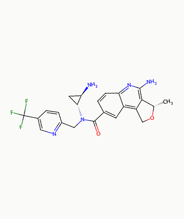 C[C@@H]1OCc2c1c(N)nc1ccc(C(=O)N(Cc3ccc(C(F)(F)F)cn3)[C@@H]3C[C@H]3N)cc21